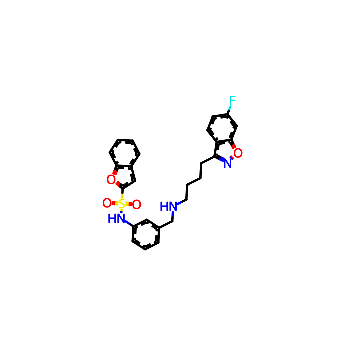 O=S(=O)(Nc1cccc(CNCCCCc2noc3cc(F)ccc23)c1)c1cc2ccccc2o1